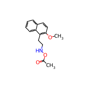 COc1ccc2ccccc2c1CCNOC(C)=O